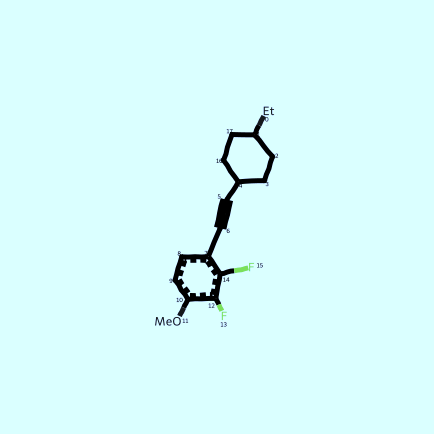 CCC1CCC(C#Cc2ccc(OC)c(F)c2F)CC1